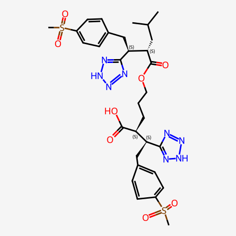 CC(C)C[C@H](C(=O)OCCC[C@H](C(=O)O)[C@H](Cc1ccc(S(C)(=O)=O)cc1)c1nn[nH]n1)[C@H](Cc1ccc(S(C)(=O)=O)cc1)c1nn[nH]n1